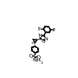 NS(=O)(=O)c1ccc([C@@H]2C[C@H]2c2nc(-c3cc(F)ccc3F)no2)cc1